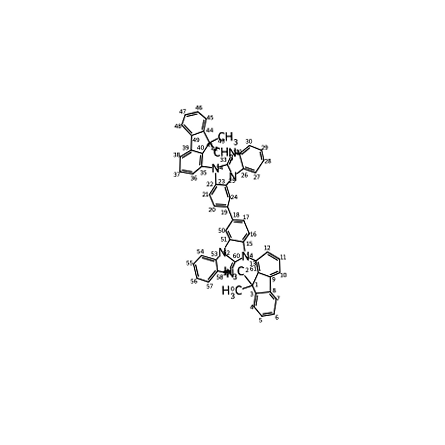 CC1(C)c2ccccc2-c2cccc(-n3c4ccc(-c5ccc6c(c5)n5c7ccccc7nc5n6-c5cccc6c5C(C)(C)c5ccccc5-6)cc4n4c5ccccc5nc34)c21